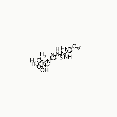 CC(C)(C)C1CN(c2ccc(NC(=S)NC(=N)c3ccc(OC4CC4)cn3)nc2)CCN1C(=O)O